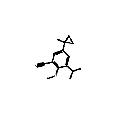 COc1c(C#N)cc(C2(C)CC2)cc1C(C)C